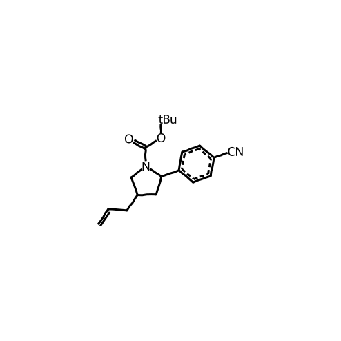 C=CCC1CC(c2ccc(C#N)cc2)N(C(=O)OC(C)(C)C)C1